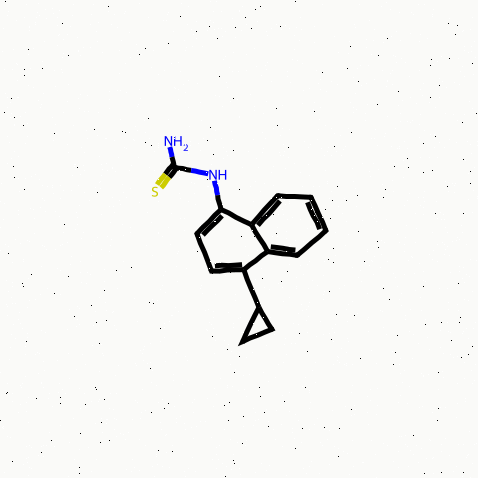 NC(=S)Nc1ccc(C2CC2)c2ccccc12